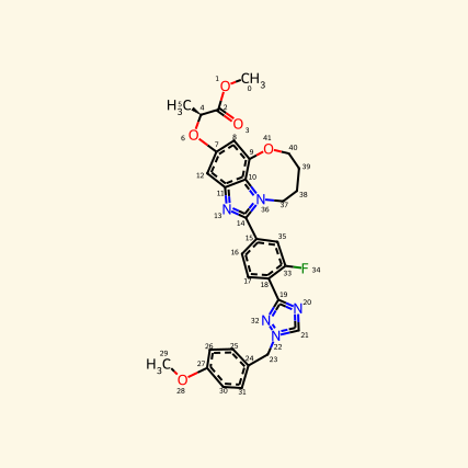 COC(=O)[C@H](C)Oc1cc2c3c(c1)nc(-c1ccc(-c4ncn(Cc5ccc(OC)cc5)n4)c(F)c1)n3CCCCO2